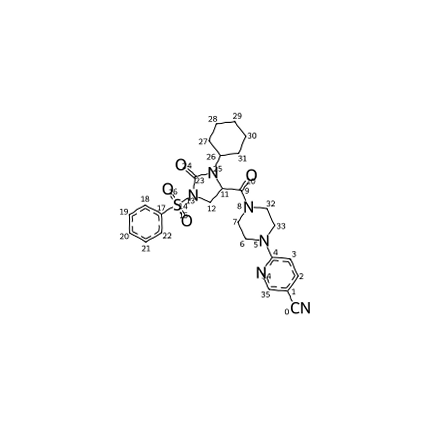 N#Cc1ccc(N2CCN(C(=O)C3CN(S(=O)(=O)c4ccccc4)C(=O)N3C3CCCCC3)CC2)nc1